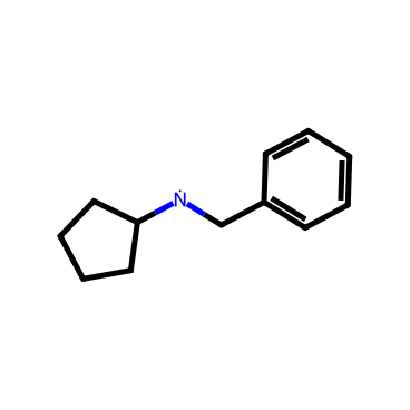 c1ccc(C[N]C2CCCC2)cc1